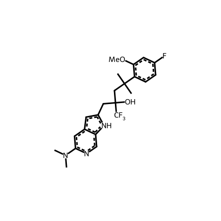 COc1cc(F)ccc1C(C)(C)CC(O)(Cc1cc2cc(N(C)C)ncc2[nH]1)C(F)(F)F